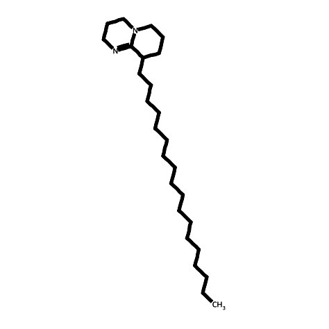 CCCCCCCCCCCCCCCCCCC1CCCN2CCCN=C12